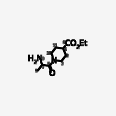 CCOC(=O)C1CCN(C(=O)C(C)N)CC1